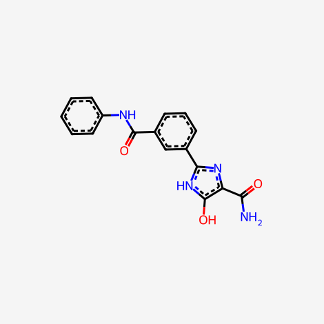 NC(=O)c1nc(-c2cccc(C(=O)Nc3ccccc3)c2)[nH]c1O